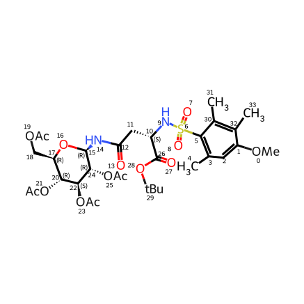 COc1cc(C)c(S(=O)(=O)N[C@@H](CC(=O)N[C@@H]2O[C@H](COC(C)=O)[C@@H](OC(C)=O)[C@H](OC(C)=O)[C@H]2OC(C)=O)C(=O)OC(C)(C)C)c(C)c1C